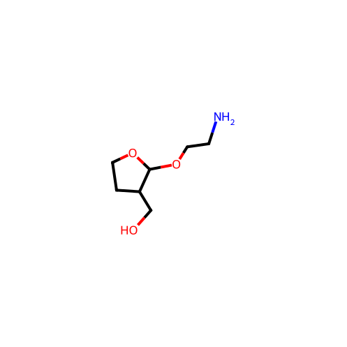 NCCOC1OCCC1CO